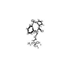 C[Si](C)(C)CCOCN1C(=O)C2CC=CN2C(=O)c2ccccc21